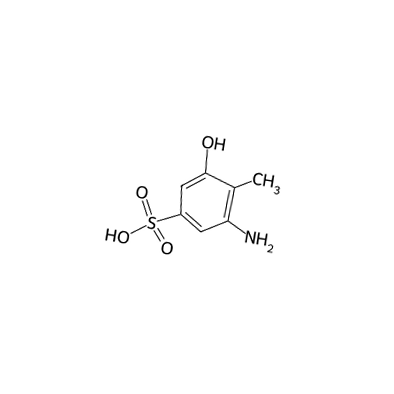 Cc1c(N)cc(S(=O)(=O)O)cc1O